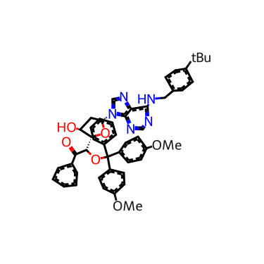 COc1ccc(C(OC(C(=O)c2ccccc2)[C@H]2O[C@@H](n3cnc4c(NCc5ccc(C(C)(C)C)cc5)ncnc43)C[C@@H]2O)(c2ccccc2)c2ccc(OC)cc2)cc1